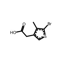 Cc1c(CC(=O)O)csc1Br